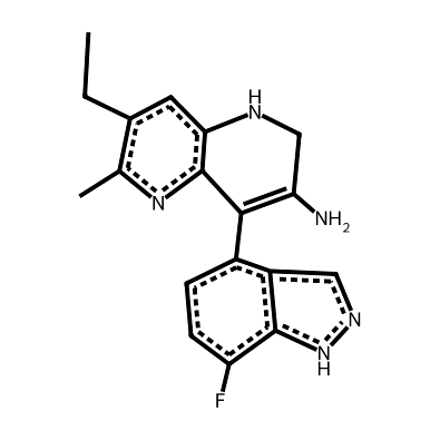 CCc1cc2c(nc1C)C(c1ccc(F)c3[nH]ncc13)=C(N)CN2